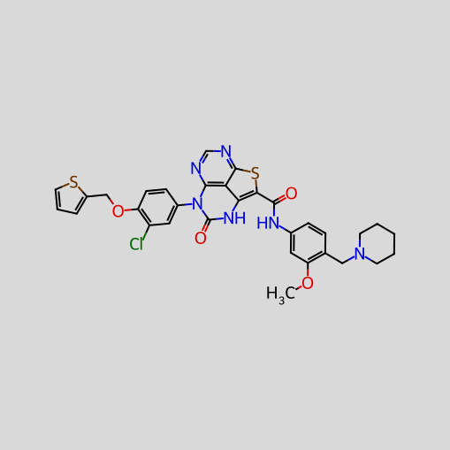 COc1cc(NC(=O)c2sc3ncnc4c3c2NC(=O)N4c2ccc(OCc3cccs3)c(Cl)c2)ccc1CN1CCCCC1